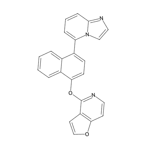 c1ccc2c(-c3cccc4nccn34)ccc(Oc3nccc4occc34)c2c1